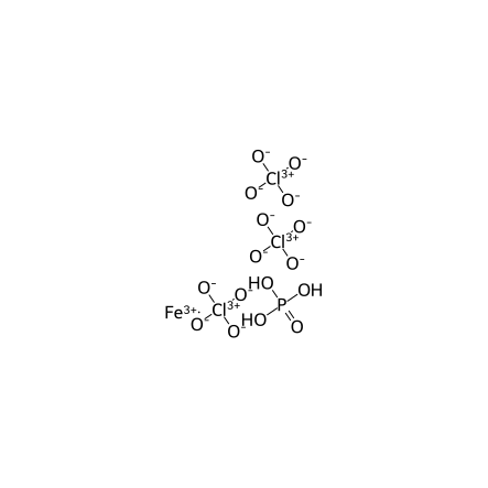 O=P(O)(O)O.[Fe+3].[O-][Cl+3]([O-])([O-])[O-].[O-][Cl+3]([O-])([O-])[O-].[O-][Cl+3]([O-])([O-])[O-]